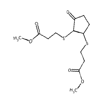 COC(=O)CCSC1CCC(=O)C1SCCC(=O)OC